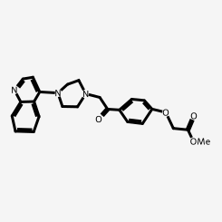 COC(=O)COc1ccc(C(=O)CN2CCN(c3ccnc4ccccc34)CC2)cc1